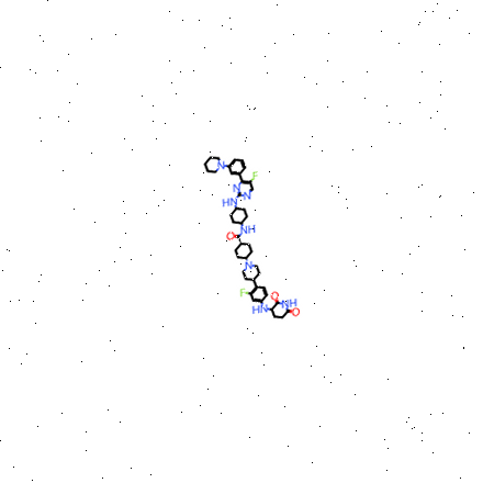 O=C1CCC(Nc2ccc(C3CCN([C@H]4CC[C@H](C(=O)NC5CCC(Nc6ncc(F)c(-c7cccc(N8CCCCC8)c7)n6)CC5)CC4)CC3)c(F)c2)C(=O)N1